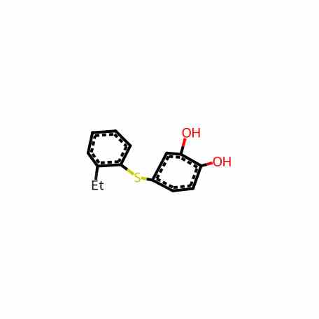 CCc1ccccc1Sc1ccc(O)c(O)c1